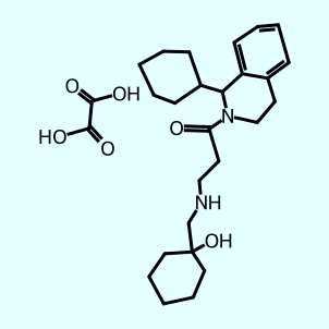 O=C(CCNCC1(O)CCCCC1)N1CCc2ccccc2C1C1CCCCC1.O=C(O)C(=O)O